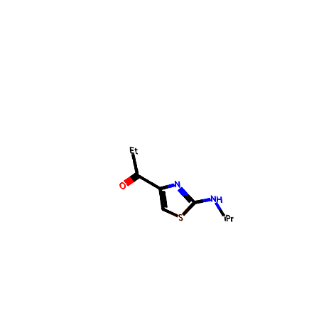 CCC(=O)c1csc(NC(C)C)n1